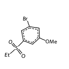 CCS(=O)(=O)c1cc(Br)cc(OC)c1